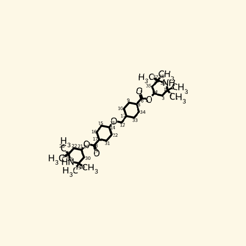 CC1(C)CC(OC(=O)C2CCC(COC3CCC(C(=O)OC4CC(C)(C)NC(C)(C)C4)CC3)CC2)CC(C)(C)N1